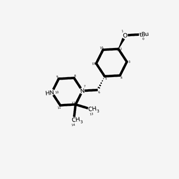 CC(C)(C)O[C@H]1CC[C@H](CN2CCNCC2(C)C)CC1